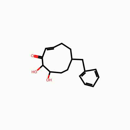 O=C1/C=C/CCC(Cc2ccccc2)CCC(O)C1O